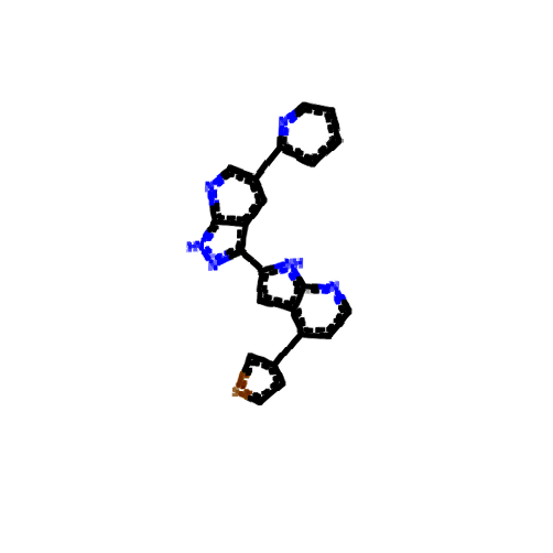 c1ccc(-c2cnc3[nH]nc(-c4cc5c(-c6ccsc6)ccnc5[nH]4)c3c2)nc1